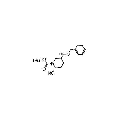 CC(C)(C)OC(=O)N1C[C@@H](NOCc2ccccc2)CC[C@@H]1C#N